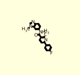 Cc1nc(-c2ccc(F)cc2)ccc1C(=O)Nc1ccc2ncn(C)c2c1